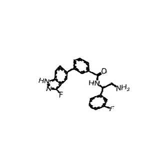 NCC(NC(=O)c1cccc(-c2ccc3[nH]nc(F)c3c2)c1)c1cccc(F)c1